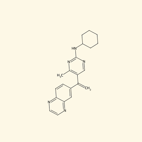 C=C(c1ccc2nccnc2c1)c1cnc(NC2CCCCC2)nc1C